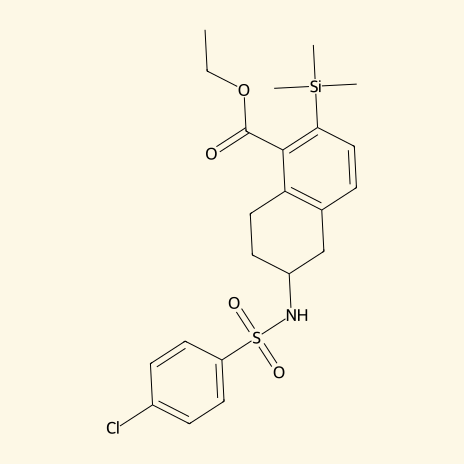 CCOC(=O)c1c([Si](C)(C)C)ccc2c1CCC(NS(=O)(=O)c1ccc(Cl)cc1)C2